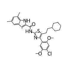 COc1cc(-c2nc(NC(=O)c3[c]c4cc(C)cc(C)c4[nH]3)sc2CCC2CCCCC2)c(OC)cc1Cl